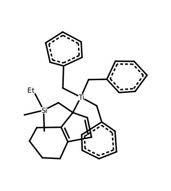 CC[Si](C)(C)C[C]1([Ti]([CH2]c2ccccc2)([CH2]c2ccccc2)[CH2]c2ccccc2)C=CC2=C1CCCC2